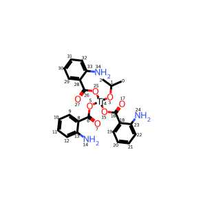 CC(C)[O][Ti]([O]C(=O)c1ccccc1N)([O]C(=O)c1ccccc1N)[O]C(=O)c1ccccc1N